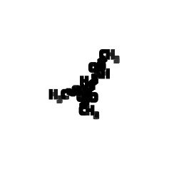 CCCOC(=O)NCCCC[C@H](NC(=O)OCCC)C(=O)OCCC